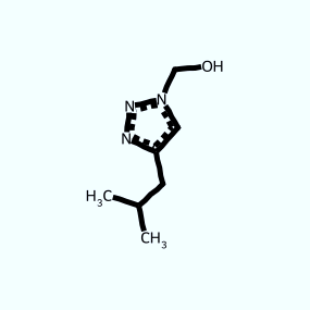 CC(C)Cc1cn(CO)nn1